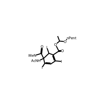 CCCCCOC(C)OC(=O)C1=C(I)C=C(I)C(NC(C)=O)(C(=O)NC)C1I